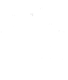 COc1c(OS(C)(=O)=O)ccc(C(=O)O)c1[N+](=O)[O-]